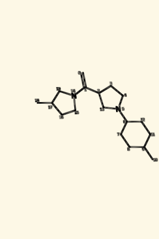 C=C(C1CCN(C2CCC(C)CC2)C1)N1CCC(C)C1